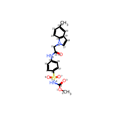 COC(=O)NS(=O)(=O)c1ccc(NC(=O)Cn2ccc3cc(C)ccc32)cc1